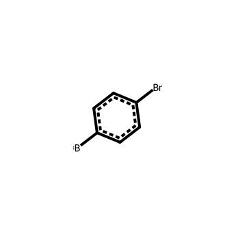 [B]c1ccc(Br)cc1